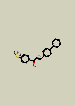 O=C(/C=C/c1ccc(-c2ccccc2)cc1)c1ccc(SC(F)(F)F)cc1